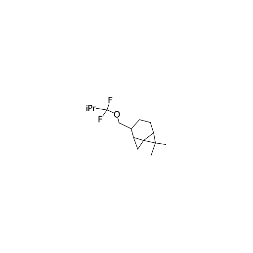 CC(C)C(F)(F)OCC1CCC2C(C)(C)C23CC13